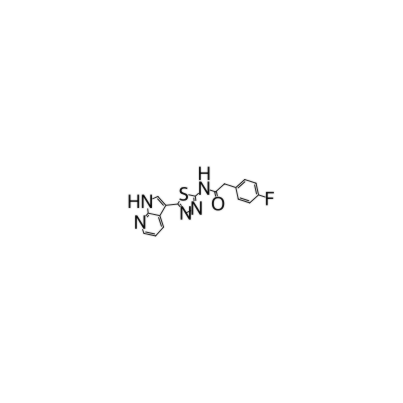 O=C(Cc1ccc(F)cc1)Nc1nnc(-c2c[nH]c3ncccc23)s1